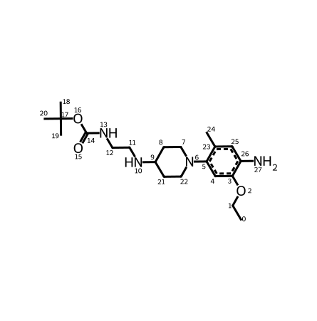 CCOc1cc(N2CCC(NCCNC(=O)OC(C)(C)C)CC2)c(C)cc1N